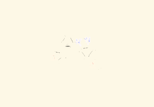 CC(C)OCc1ccc2c(c1)ncn2-c1cccc(-c2ccoc2)c1